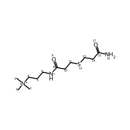 C[N+](C)(C)CCCNC(=O)CCSCCC(N)=O